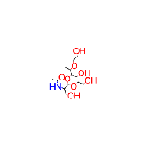 CC(=O)NC(CO)[C@@H](OCCO)OC(CO)[C@@H](C)OCCO